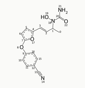 CC(C=Cc1ccc(Oc2ccc(C#N)cc2)o1)N(O)C(N)=O